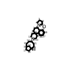 O=C1CCCN1[C@H]1CCC2(CCN([C@H]3CCC4CC[C@@H](CC3)C4)CC2)c2ccccc21